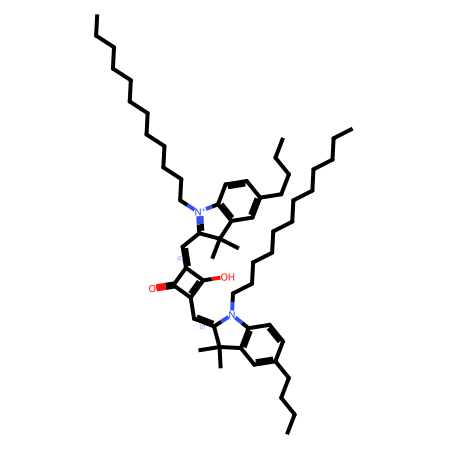 CCCCCCCCCCCCN1/C(=C\C2=C(O)C(=C\C3=[N+](CCCCCCCCCCCC)c4ccc(CCCC)cc4C3(C)C)/C2=O)C(C)(C)c2cc(CCCC)ccc21